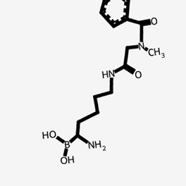 CN(CC(=O)NCCCCC(N)B(O)O)C(=O)c1ccccc1